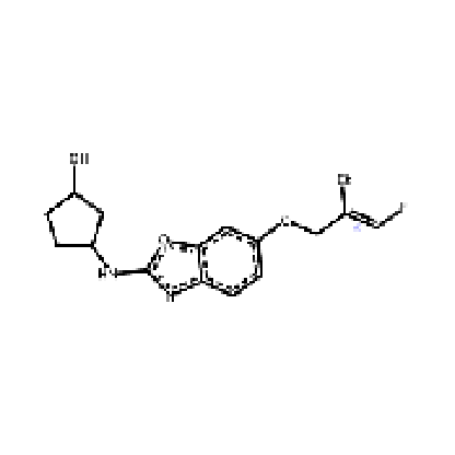 CC/C(=C\F)COc1ccc2nc(NC3CCC(O)C3)oc2c1